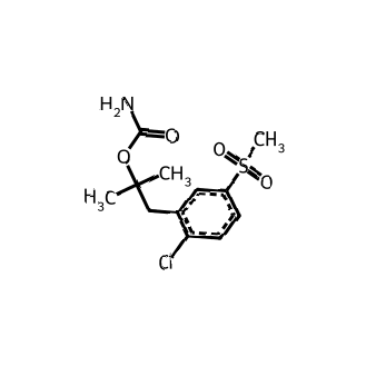 CC(C)(Cc1cc(S(C)(=O)=O)ccc1Cl)OC(N)=O